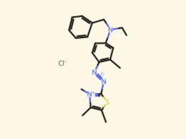 CCN(Cc1ccccc1)c1ccc(/N=N/c2sc(C)c(C)[n+]2C)c(C)c1.[Cl-]